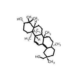 CC1(C)[C@@H](O)CC[C@]2(C)[C@H]3C=CC4=C5C[C@@](C)(CO)CC[C@]5(C)CC[C@@]4(C)[C@]3(C)CC[C@@H]12